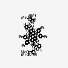 CO[Si](Cc1ccnc(N(C)C(=O)C(C2CCCCC2)N2C(=O)c3cc(Oc4ccc(C(C)C)cc4C)c4c5c(Oc6ccc(C(C)C)cc6C)cc6c7c(cc(Oc8ccc(C(C)C)cc8C)c(c8c(Oc9ccc(C(C)C)cc9C)cc(c3c48)C2=O)c75)C(=O)N(C(C(=O)N(C)c2cc(C[Si](OC)(OC)OC)ccn2)C2CCCCC2)C6=O)c1)(OC)OC